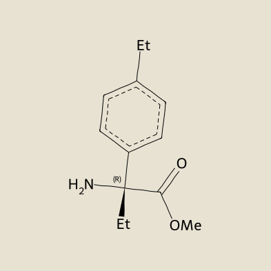 CCc1ccc([C@](N)(CC)C(=O)OC)cc1